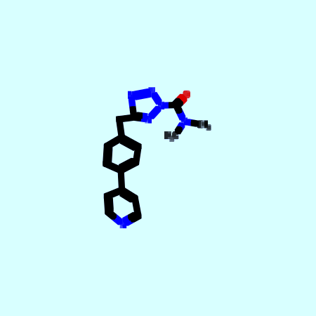 CN(C)C(=O)n1nnc(Cc2ccc(-c3ccncc3)cc2)n1